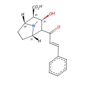 CN1[C@@H]2CC[C@H]1C(C(=O)C=Cc1ccccc1)[C@H](O)[C@@H]2C(=O)O